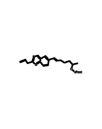 C=CCc1ncc2cc(C=CCCCC(C)OCCCCC)ccc2n1